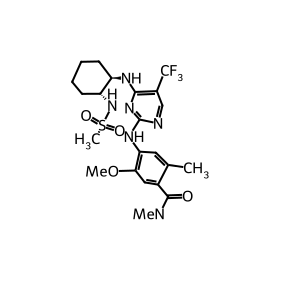 CNC(=O)c1cc(OC)c(Nc2ncc(C(F)(F)F)c(N[C@@H]3CCCC[C@H]3NS(C)(=O)=O)n2)cc1C